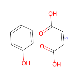 O=C(O)/C=C\C(=O)O.Oc1ccccc1